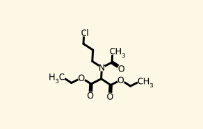 CCOC(=O)C(C(=O)OCC)N(CCCCl)C(C)=O